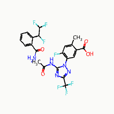 CC(=O)Nc1nc(C(F)(F)F)nn1-c1cc(C(=O)O)c(C)cc1F.NC(=O)c1ccccc1C(F)C(F)F